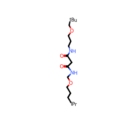 CC(C)CCCOCNC(=O)CC(=O)NCCCOCC(C)(C)C